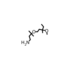 CCC(C)(CCOC(C)(C)CCN)OC